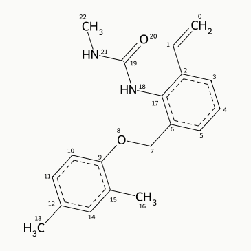 C=Cc1cccc(COc2ccc(C)cc2C)c1NC(=O)NC